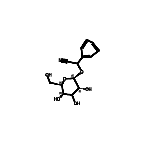 N#CC(O[C@@H]1O[C@H](CO)[C@H](O)C(O)[C@H]1O)c1ccccc1